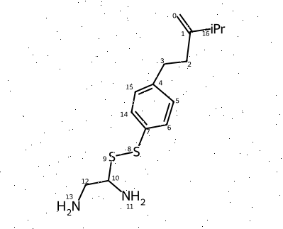 C=C(CCc1ccc(SSC(N)CN)cc1)C(C)C